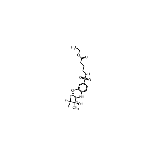 CCOC(=O)CCCNS(=O)(=O)c1ccc(NC(=O)[C@@](C)(O)C(F)(F)F)c(Cl)c1